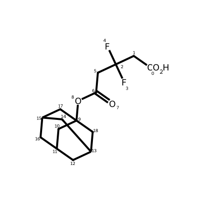 O=C(O)CC(F)(F)CC(=O)OC12CC3CC(CC(C3)C1)C2